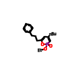 CCCCC1=CP(=O)(OCC)OC(CCCc2ccccc2)=C1